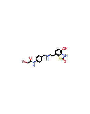 O=C(CBr)Nc1ccc(CNCCc2ccc(O)c3[nH]c(=O)sc23)cc1